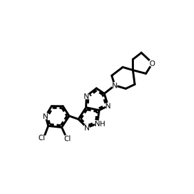 Clc1nccc(-c2n[nH]c3nc(N4CCC5(CCOC5)CC4)cnc23)c1Cl